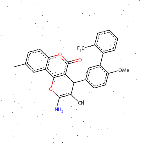 COc1ccc(C2C(C#N)=C(N)Oc3c2c(=O)oc2ccc(C)cc32)cc1-c1ccccc1C(F)(F)F